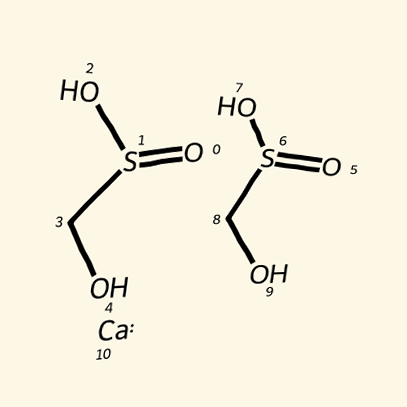 O=S(O)CO.O=S(O)CO.[Ca]